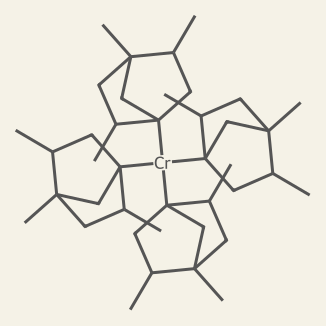 CC1C[C]2([Cr]([C]34CC(C)C(C)(CC3C)C4)([C]34CC(C)C(C)(CC3C)C4)[C]34CC(C)C(C)(CC3C)C4)CC1(C)CC2C